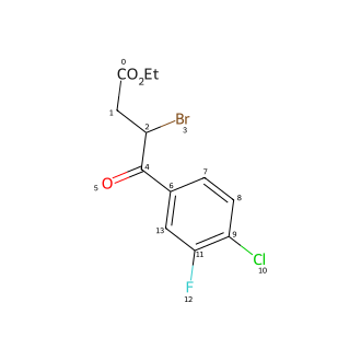 CCOC(=O)CC(Br)C(=O)c1ccc(Cl)c(F)c1